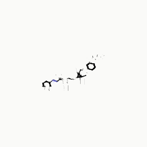 CSc1cccc(N2C[C@@H]3[C@@H](CCNC(=O)/C=C/c4cccnc4)[C@@H]3C2)c1